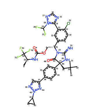 C[C@H](NC(=O)OC[C@H](c1ccc(Cl)c(-c2ncnn2C(F)F)c1)N1C(=N)N[C@](CC(C)(C)C)(c2ccc(-c3cnn(C4CC4)n3)cc2)C1=O)C(F)(F)F